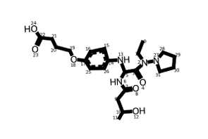 CCN(C(=O)C(NC(=O)CC(C)O)Nc1ccc(OCCCC(=O)O)cc1)N1CCCC1